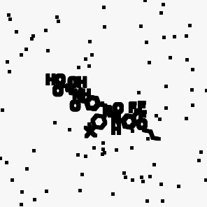 CCCCOc1ccc(NC(=O)N(Cc2ccc(C(=O)NC[C@@H](O)C(=O)O)cc2)C2CCC(C(C)(C)C)CC2)cc1C(F)(F)F